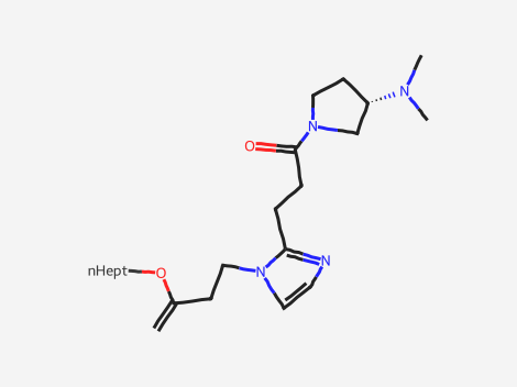 C=C(CCn1ccnc1CCC(=O)N1CC[C@H](N(C)C)C1)OCCCCCCC